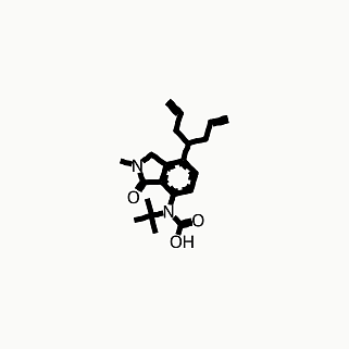 C=CCC(CC=C)c1ccc(N(C(=O)O)C(C)(C)C)c2c1CN(C)C2=O